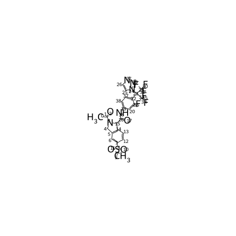 CC(=O)N1Cc2cc(S(C)(=O)=O)ccc2C1C(=O)Nc1ccc(C(n2ccnn2)(C(F)(F)F)C(F)(F)F)cc1